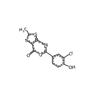 Cc1nc2c(=O)oc(-c3ccc(O)c(Cl)c3)nc2s1